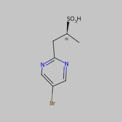 C[C@@H](Cc1ncc(Br)cn1)S(=O)(=O)O